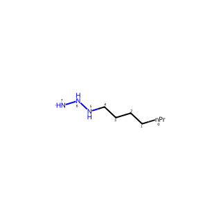 CCCCCCCNN[NH]